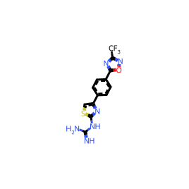 N=C(N)Nc1nc(-c2ccc(-c3nc(C(F)(F)F)no3)cc2)cs1